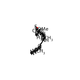 COC(=O)C1=C(CN2CCN3C(=O)N(CC(C)(C)CC(=O)NCCCCCCOc4cc(N5CCc6nc(-c7ncccn7)ncc6C5C)cc(F)c4F)C[C@@H]3C2)NC(c2nccs2)=N[C@H]1c1ccc(F)cc1Cl